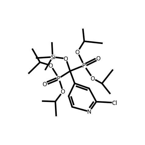 CC(C)OP(=O)(OC(C)C)C(O[Si](C)(C)C)(c1ccnc(Cl)c1)P(=O)(OC(C)C)OC(C)C